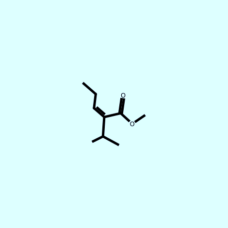 CCC=C(C(=O)OC)C(C)C